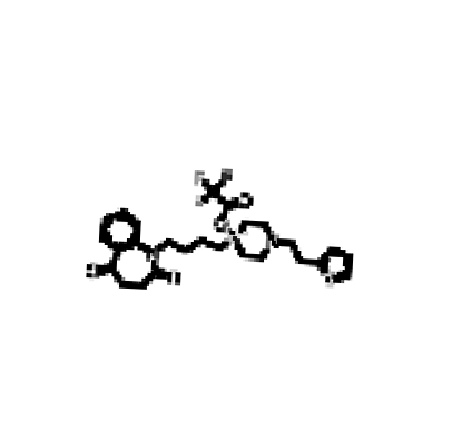 O=C1CCC(=O)N(CCCC[N+]2(OC(=O)C(F)(F)F)CCN(CCc3cccs3)CC2)c2ccccc21